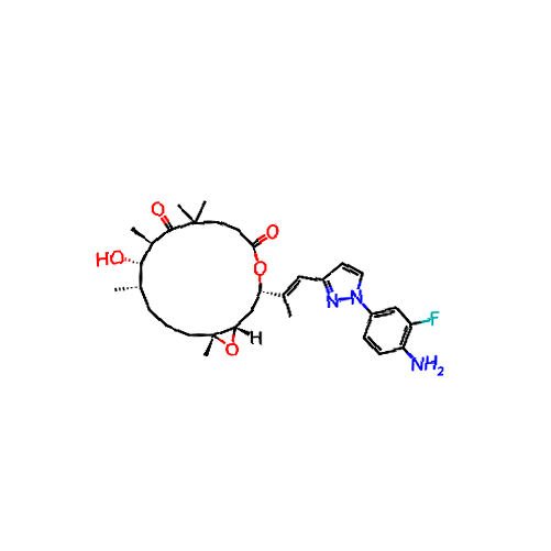 C/C(=C\c1ccn(-c2ccc(N)c(F)c2)n1)[C@@H]1C[C@@H]2O[C@]2(C)CCC[C@H](C)[C@H](O)[C@@H](C)C(=O)C(C)(C)CCC(=O)O1